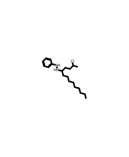 CCCCCCCCCC(CCC(C)Cl)NNc1ccccc1